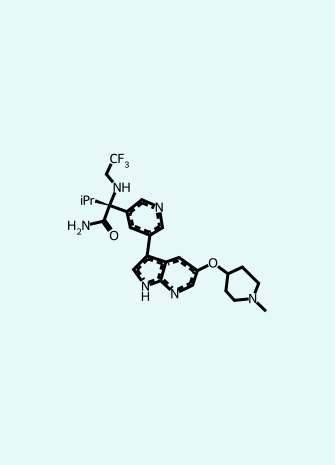 CC(C)[C@](NCC(F)(F)F)(C(N)=O)c1cncc(-c2c[nH]c3ncc(OC4CCN(C)CC4)cc23)c1